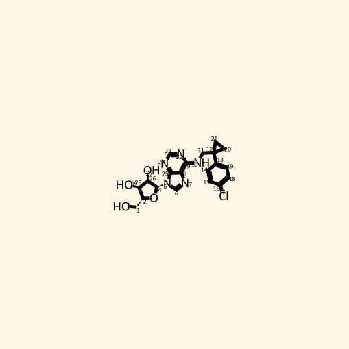 OC[C@H]1O[C@@H](n2cnc3c(NCC4(c5ccc(Cl)cc5)CC4)ncnc32)[C@H](O)[C@@H]1O